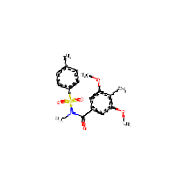 COc1cc(C(=O)N(C)S(=O)(=O)c2ccc(C)cc2)cc(OC)c1C